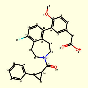 COc1ccc(CC(=O)O)cc1-c1ccc(F)c2c1CCN(C(=O)C1CC1c1ccccc1)CC2